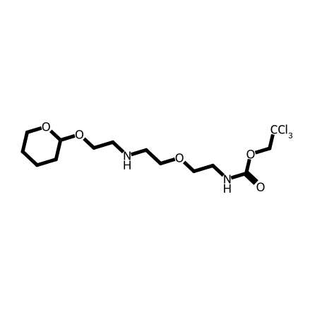 O=C(NCCOCCNCCOC1CCCCO1)OCC(Cl)(Cl)Cl